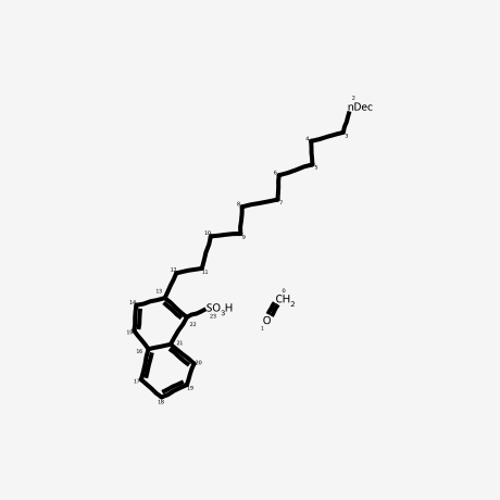 C=O.CCCCCCCCCCCCCCCCCCCCc1ccc2ccccc2c1S(=O)(=O)O